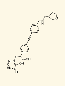 O=c1[nH]cnc(CC(CO)c2ccc(C#Cc3ccc(CNCC4CCOC4)cc3)cc2)c1O